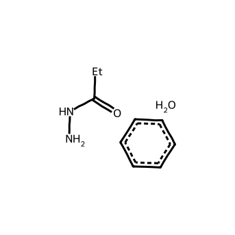 CCC(=O)NN.O.c1ccccc1